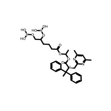 Cc1cc(C)nc(C[C@H](C(=O)OC(C)OC(=O)CCCC(CON(O)O)ON(O)O)C(C)(c2ccccc2)c2ccccc2)n1